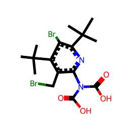 CC(C)(C)c1nc(N(C(=O)O)C(=O)O)c(CBr)c(C(C)(C)C)c1Br